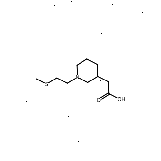 CSCCN1CCCC(CC(=O)O)C1